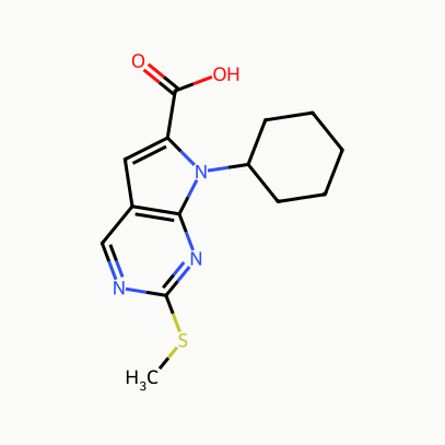 CSc1ncc2cc(C(=O)O)n(C3CCCCC3)c2n1